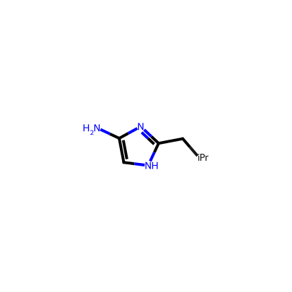 CC(C)Cc1nc(N)c[nH]1